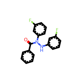 O=C(c1ccccc1)N(Nc1cccc(F)c1)c1cccc(F)c1